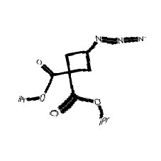 CC(C)OC(=O)C1(C(=O)OC(C)C)CC(N=[N+]=[N-])C1